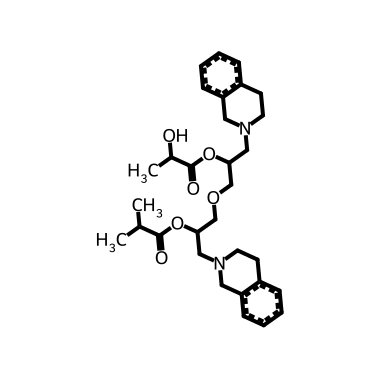 CC(C)C(=O)OC(COCC(CN1CCc2ccccc2C1)OC(=O)C(C)O)CN1CCc2ccccc2C1